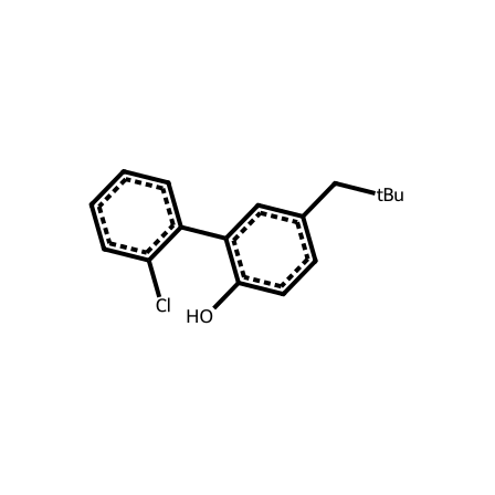 CC(C)(C)Cc1ccc(O)c(-c2ccccc2Cl)c1